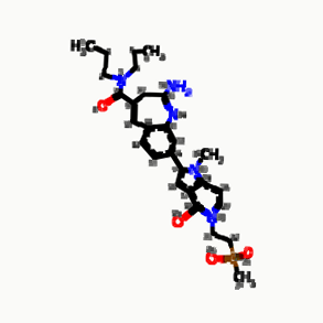 CCCN(CCC)C(=O)C1=Cc2ccc(-c3cc4c(=O)n(CCS(C)(=O)=O)ccc4n3C)cc2N=C(N)C1